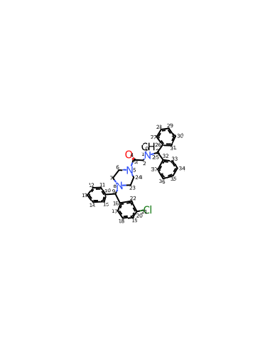 CN(CC(=O)N1CCN(C(c2ccccc2)c2cccc(Cl)c2)CC1)C(c1ccccc1)c1ccccc1